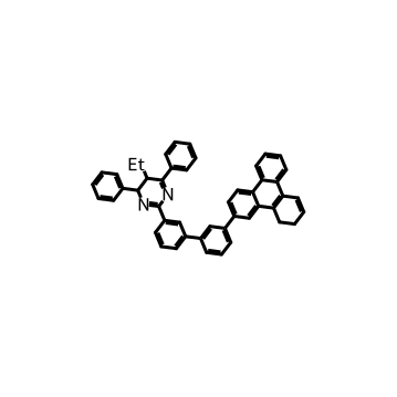 CCC1C(c2ccccc2)=NC(c2cccc(-c3cccc(-c4ccc5c(c4)c4c(c6ccccc65)C=CCC4)c3)c2)=NC1c1ccccc1